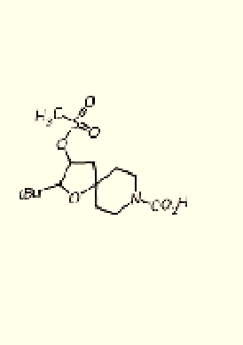 CC(C)(C)C1OC2(CCN(C(=O)O)CC2)CC1OS(C)(=O)=O